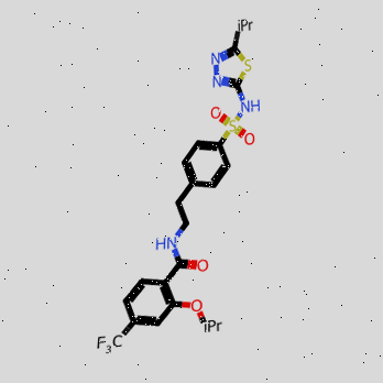 CC(C)Oc1cc(C(F)(F)F)ccc1C(=O)NCCc1ccc(S(=O)(=O)Nc2nnc(C(C)C)s2)cc1